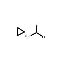 C1CC1.CC(Cl)Cl